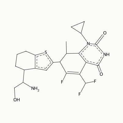 CC1c2c(c(=O)[nH]c(=O)n2C2CC2)C(C(F)F)=C(F)C1c1cc2c(s1)CCCC2C(N)CO